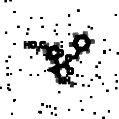 NC1CC1(C(=O)OCc1ccccc1)c1nc(C(=O)O)co1